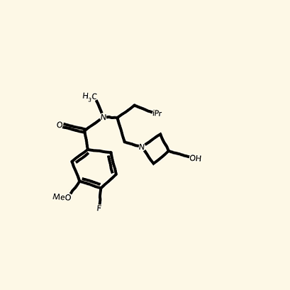 COc1cc(C(=O)N(C)C(CC(C)C)CN2CC(O)C2)ccc1F